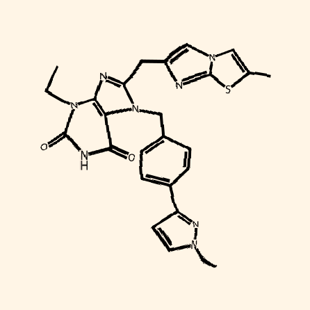 CCn1c(=O)[nH]c(=O)c2c1nc(Cc1cn3cc(C)sc3n1)n2Cc1ccc(-c2ccn(C)n2)cc1